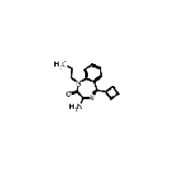 CCCN1C(=O)C(N)N=C(C2CCC2)c2ccccc21